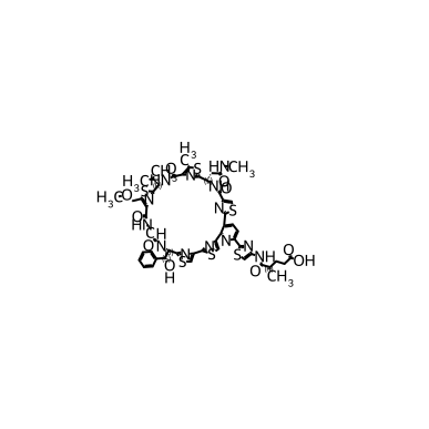 CNC(=O)C[C@@H]1NC(=O)c2csc(n2)-c2ccc(-c3nc(NC(=O)[C@H](C)CCC(=O)O)cs3)nc2-c2csc(n2)-c2csc(n2)[C@H]([C@@H](O)c2ccccc2)NC(=O)CNC(=O)c2nc(sc2COC)[C@@H](C(C)C)NC(=O)c2nc1sc2C